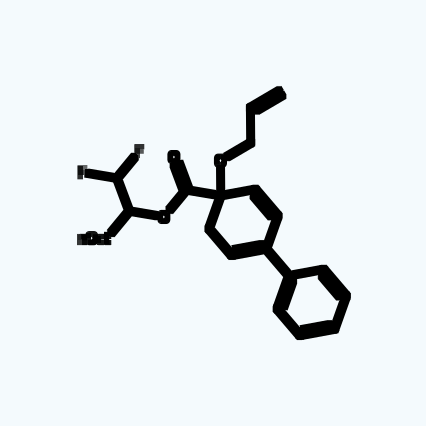 C=CCOC1(C(=O)OC(CCCCCCCC)C(F)F)C=CC(c2ccccc2)=CC1